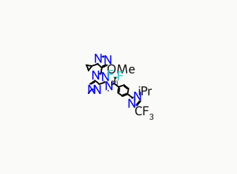 COc1ncnc(C2CC2)c1-c1nc(N(C)[C@H](c2ccc(-c3nc(C(F)(F)F)cn3C(C)C)cc2)C(F)F)c2nn(C)cc2n1